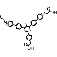 CCCC[n+]1ccc(-c2ccc(-c3nc(-c4ccc(CC(=O)O)cc4)nc(-c4ccc(-c5cc[n+](CCC(=O)O)cc5)cc4)c3C)cc2)cc1